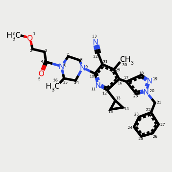 COCCC(=O)N1CCN(c2nc(C3CC3)c(-c3cnn(Cc4ccccc4)c3)c(C)c2C#N)CC1C